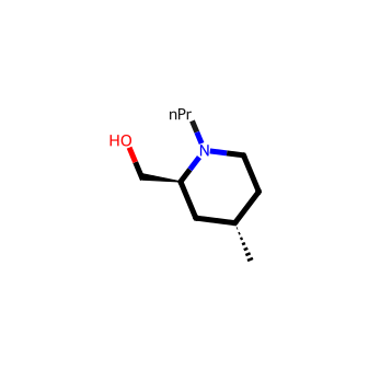 CCCN1CC[C@H](C)C[C@H]1CO